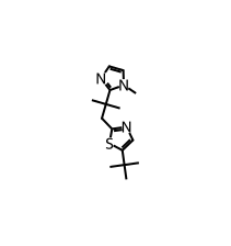 Cn1ccnc1C(C)(C)Cc1ncc(C(C)(C)C)s1